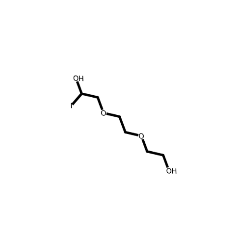 OCCOCCOCC(O)I